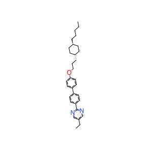 CCCCC[C@H]1CC[C@H](CCCOc2ccc(-c3ccc(-c4ncc(CC)cn4)cc3)cc2)CC1